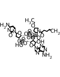 C=CCCC(=O)N1C[C@H](OCC)C[C@H]1C(=O)O[C@H]1[C@@H](O)[C@H](n2cnc3c(N)ncnc32)O[C@@H]1COP(=O)(O)O[C@H]1CC(n2ccc(N)nc2=O)O[C@@H]1COP(=O)(O)O